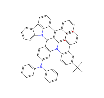 CC(C)(C)c1ccc(N2c3cc(N(c4ccccc4)c4ccccc4)ccc3B3c4c2cc2ccccc2c4-c2cccc4c5ccccc5n3c24)c(-c2ccccc2)c1